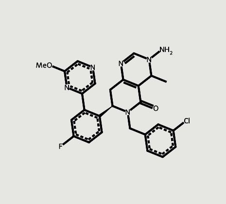 COc1cncc(-c2cc(F)ccc2[C@H]2CC3=C(C(=O)N2Cc2cccc(Cl)c2)C(C)N(N)C=N3)n1